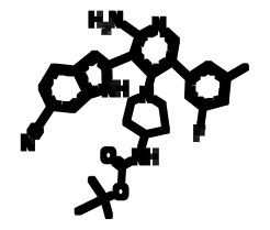 Cc1cc(F)cc(-c2cnc(N)c(-c3cc4ccc(C#N)cc4[nH]3)c2N2CCC(NC(=O)OC(C)(C)C)CC2)c1